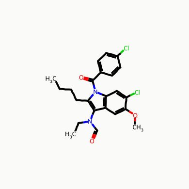 CCCCc1c(N(C=O)CC)c2cc(OC)c(Cl)cc2n1C(=O)c1ccc(Cl)cc1